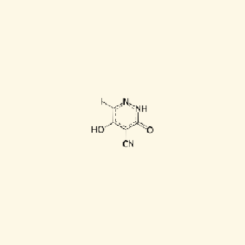 N#Cc1c(O)c(I)n[nH]c1=O